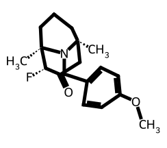 COc1ccc(CN2[C@@]3(C)CCC[C@]2(C)[C@@H](F)C(=O)C3)cc1